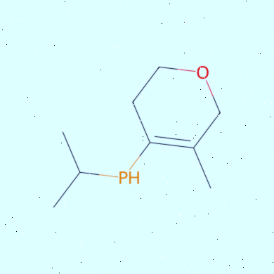 CC1=C(PC(C)C)CCOC1